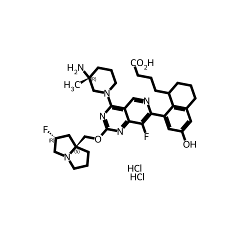 C[C@@]1(N)CCCN(c2nc(OC[C@@]34CCCN3C[C@H](F)C4)nc3c(F)c(-c4cc(O)cc5c4C(CCCC(=O)O)CCC5)ncc23)C1.Cl.Cl